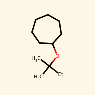 CCC(C)(C)OC1CCCCCC1